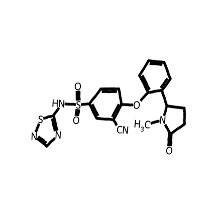 CN1C(=O)CCC1c1ccccc1Oc1ccc(S(=O)(=O)Nc2ncns2)cc1C#N